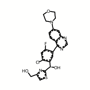 OCc1csc([C@H](O)c2cc(-c3ncnc4cc(N5CCOCC5)ccc34)c(F)cc2Cl)n1